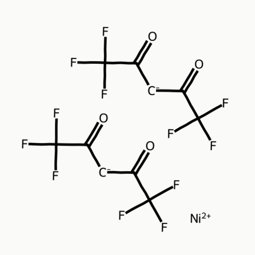 O=C([CH-]C(=O)C(F)(F)F)C(F)(F)F.O=C([CH-]C(=O)C(F)(F)F)C(F)(F)F.[Ni+2]